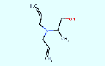 C=CCN(CC=C)C(C)CO